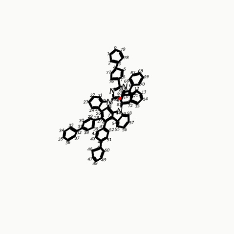 c1ccc(-c2ccc(-c3nc(-c4ccccc4)nc(-n4c5ccccc5c5c(-c6ccc(-c7ccccc7)cc6)c(-c6ccc(-c7ccccc7)cc6)c6c7ccccc7n(-c7ccc(-c8ccccc8)cc7)c6c54)n3)cc2)cc1